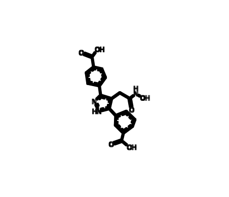 O=C(Cc1c(-c2ccc(C(=O)O)cc2)n[nH]c1-c1cccc(C(=O)O)c1)NO